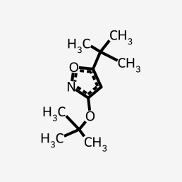 CC(C)(C)Oc1cc(C(C)(C)C)on1